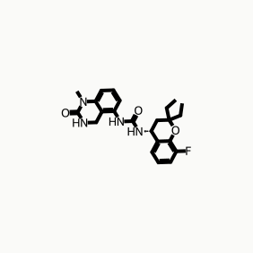 CCC1(CC)C[C@@H](NC(=O)Nc2cccc3c2CNC(=O)N3C)c2cccc(F)c2O1